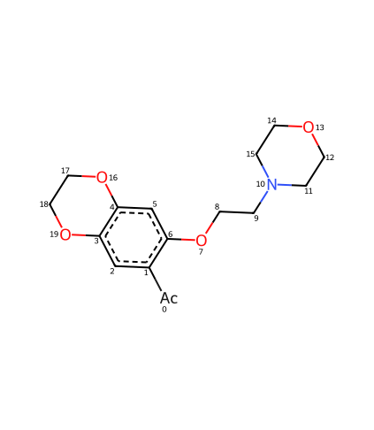 CC(=O)c1cc2c(cc1OCCN1CCOCC1)OCCO2